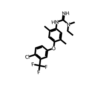 CCN(C)C(=N)Nc1cc(C)c(Oc2ccc(Cl)c(C(F)(F)F)c2)cc1C